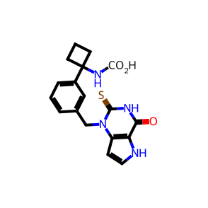 O=C(O)NC1(c2cccc(Cn3c(=S)[nH]c(=O)c4[nH]ccc43)c2)CCC1